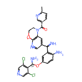 Cc1ccc(C(=O)N2CCOc3ncc(C(=N)c4cc(O[C@H](N)c5c(Cl)cncc5Cl)ccc4N)cc32)cn1